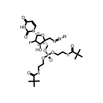 CC(C)(C)C(=O)SCCOP(=O)(OCCSC(=O)C(C)(C)C)OC[C@@]1(CN=[N+]=[N-])O[C@@H](n2ccc(=O)[nH]c2=O)C(F)[C@@H]1O